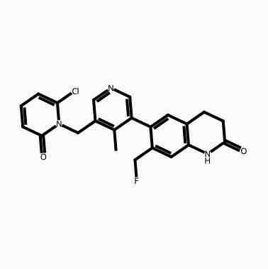 Cc1c(Cn2c(Cl)cccc2=O)cncc1-c1cc2c(cc1CF)NC(=O)CC2